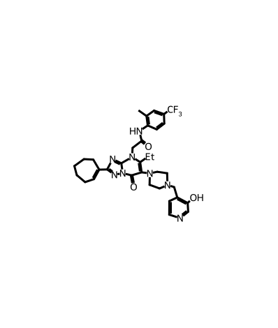 CCc1c(N2CCN(Cc3ccncc3O)CC2)c(=O)n2nc(C3=CCCCCC3)nc2n1CC(=O)Nc1ccc(C(F)(F)F)cc1C